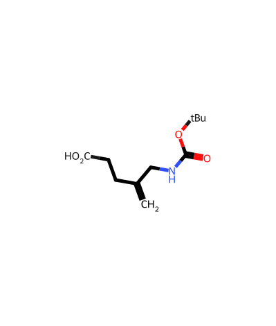 C=C(CCC(=O)O)CNC(=O)OC(C)(C)C